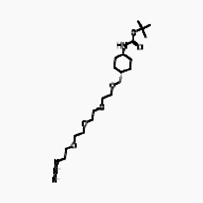 CC(C)(C)OC(=O)N[C@H]1CC[C@H](COCCOCCOCCOCCN=[N+]=[N-])CC1